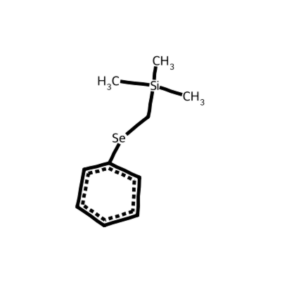 C[Si](C)(C)C[Se]c1ccccc1